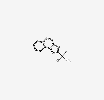 O=[N+]([O-])C(Cl)(Cl)c1nc2c(ccc3ccccc32)o1